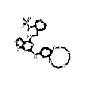 CN(c1cnccc1CNc1nc(Nc2ccc3c(c2)OCCOCCOCCO3)nc2[nH]ncc12)S(C)(=O)=O